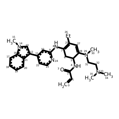 C=CC(=O)NC1CC(Nc2cc(-c3cn(C)c4ccccc34)ccn2)=C(CC)C=C1N(C)CCN(C)C